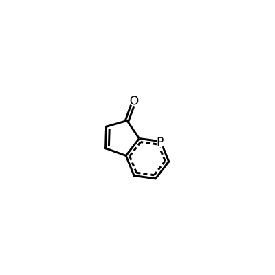 O=C1C=Cc2cccpc21